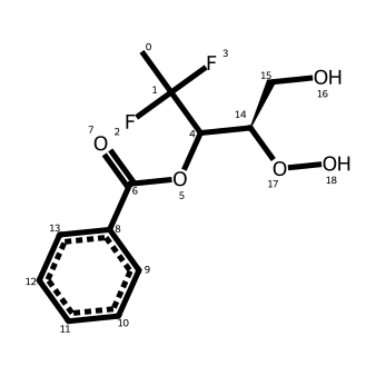 CC(F)(F)C(OC(=O)c1ccccc1)[C@@H](CO)OO